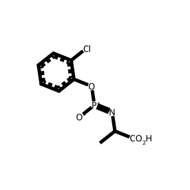 CC(/N=[P+](\[O-])Oc1ccccc1Cl)C(=O)O